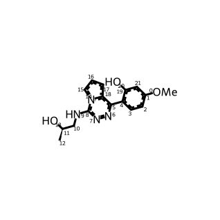 COc1ccc(-c2nnc(NC[C@@H](C)O)n3cccc23)c(O)c1